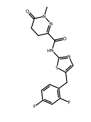 CN1N=C(C(=O)Nc2ncc(Cc3ccc(F)cc3F)s2)CCC1=O